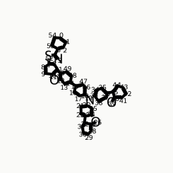 c1ccc(-c2nc3c(ccc4oc5cc(-c6ccc(N(c7ccc8c(c7)oc7ccccc78)c7ccc8c(c7)oc7ccccc78)cc6)ccc5c43)s2)cc1